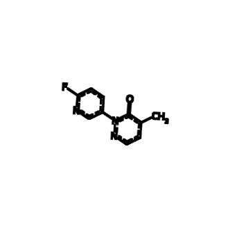 Cc1ccnn(-c2ccc(F)nc2)c1=O